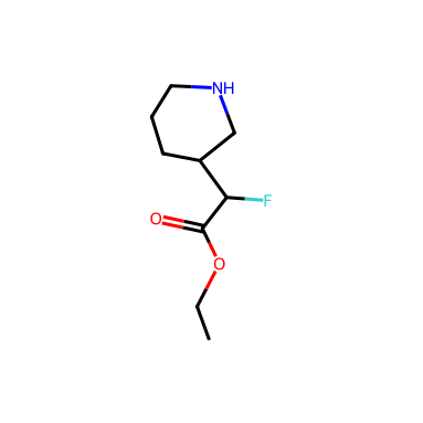 CCOC(=O)C(F)C1CCCNC1